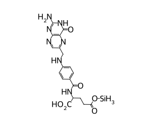 Nc1nc2ncc(CNc3ccc(C(=O)NC(CCC(=O)O[SiH3])C(=O)O)cc3)nc2c(=O)[nH]1